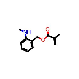 C=C(C)C(=O)OCc1ccccc1NC